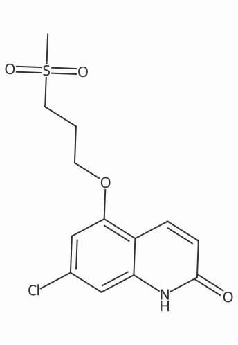 CS(=O)(=O)CCCOc1cc(Cl)cc2[nH]c(=O)ccc12